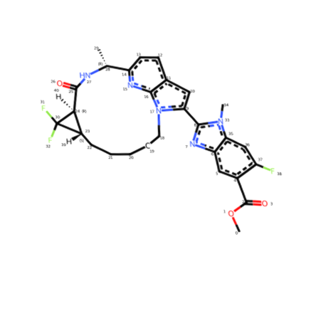 COC(=O)c1cc2nc(-c3cc4ccc5nc4n3CCCCC[C@H]3[C@H](C(=O)N[C@@H]5C)C3(F)F)n(C)c2cc1F